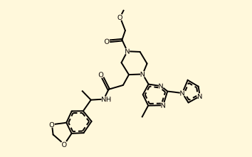 COCC(=O)N1CCN(c2cc(C)nc(-n3ccnc3)n2)C(CC(=O)NC(C)c2ccc3c(c2)OCO3)C1